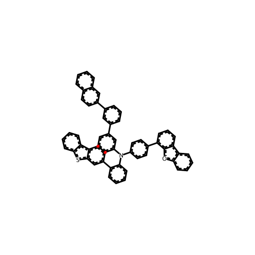 c1cc(-c2cccc(N(c3ccc(-c4cccc5c4oc4ccccc45)cc3)c3ccccc3-c3ccc4c(c3)sc3ccccc34)c2)cc(-c2ccc3ccccc3c2)c1